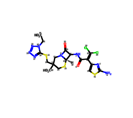 Nc1nc(C(C(=O)NC2C(=O)N3CC(CSc4nnnn4CC(=O)O)(C(=O)O)CS[C@H]23)=C(Cl)Cl)cs1